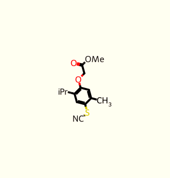 COC(=O)COc1cc(C)c(SC#N)cc1C(C)C